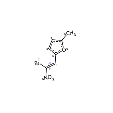 Cc1ccc(/C=C(\Br)[N+](=O)[O-])o1